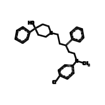 CN(CCC(CCN1CCC(O)(c2ccccc2)CC1)c1ccccc1)c1ccc(Cl)cc1